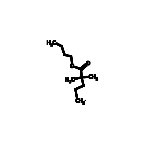 [CH2]CCC(C)(C)C(=O)OCCCC